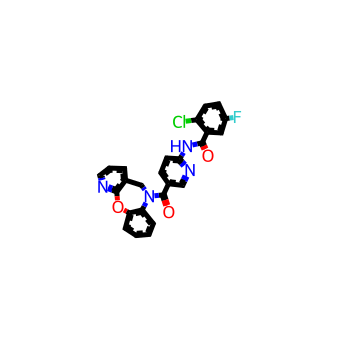 O=C(Nc1ccc(C(=O)N2Cc3cccnc3Oc3ccccc32)cn1)c1cc(F)ccc1Cl